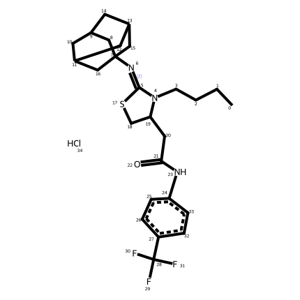 CCCCN1/C(=N/C23CC4CC(CC(C4)C2)C3)SCC1CC(=O)Nc1ccc(C(F)(F)F)cc1.Cl